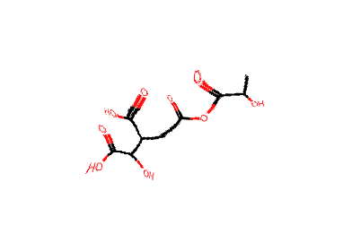 CC(O)C(=O)OC(=O)CC(C(=O)O)C(O)C(=O)O